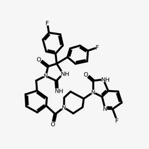 N=C1NC(c2ccc(F)cc2)(c2ccc(F)cc2)C(=O)N1Cc1cccc(C(=O)N2CCC(n3c(=O)[nH]c4ccc(F)nc43)CC2)c1